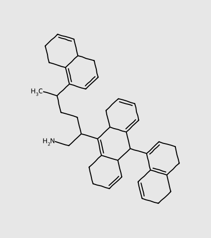 CC(CCC(CN)C1=C2CCC=CC2C(C2=CCCC3=C2C=CCC3)C2=CC=CCC21)C1=C2CCC=CC2CC=C1